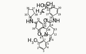 Cc1cccc(F)c1C(=O)N1CCCC(C(=O)Nc2cccc(C(C)(C)O)c2)[C@@H]1c1ccc(NC2CCCC2)cc1